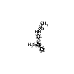 CCOC(=O)CNCc1ccc(OCc2nc(-c3ccccc3)oc2C)cc1